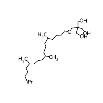 CC(C)CCCC(C)CCCC(C)CCCC(C)CCCCOCC(CO)(CO)CO